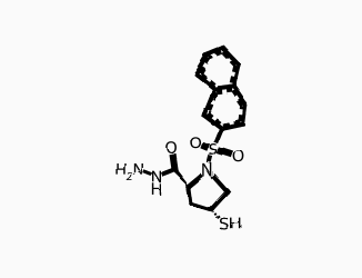 NNC(=O)[C@@H]1C[C@@H](S)CN1S(=O)(=O)c1ccc2ccccc2c1